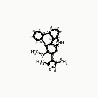 COc1cc2c(cc1-c1c(C)noc1C)[nH]c1ccnc(-c3ccccc3I)c12